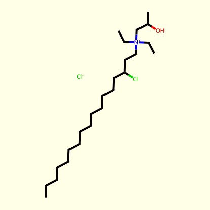 CCCCCCCCCCCCCCC(Cl)CC[N+](CC)(CC)CC(C)O.[Cl-]